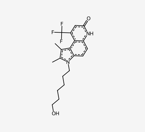 Cc1c(C)n(CCCCCCO)c2ccc3[nH]c(=O)cc(C(F)(F)F)c3c12